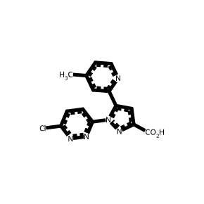 Cc1ccnc(-c2cc(C(=O)O)nn2-c2ccc(Cl)nn2)c1